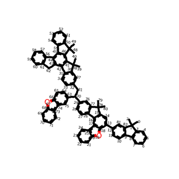 CC1(C)c2ccccc2-c2ccc(-c3cc4c(c5c3oc3ccccc35)-c3ccc(C(Cc5ccc6c(c5)C(C)(C)c5c-6c6c(c7c5C(C)(C)c5ccccc5-7)-c5ccccc5C6)c5ccc6oc7ccccc7c6c5)cc3C4(C)C)cc21